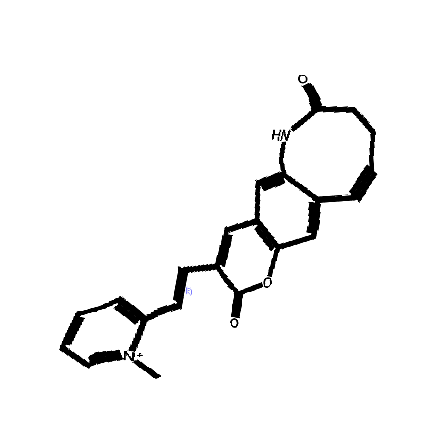 C[n+]1ccccc1/C=C/c1cc2cc3c(cc2oc1=O)C#CCCC(=O)N3